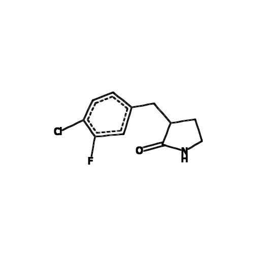 O=C1NCCC1Cc1ccc(Cl)c(F)c1